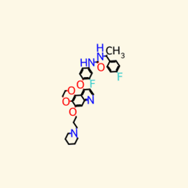 C[C@@H](NC(=O)Nc1ccc(Oc2ccnc3cc(OCCCN4CCCCC4)c4c(c23)OCCO4)c(F)c1)c1ccc(F)cc1